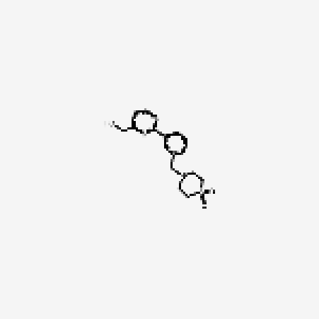 O=S1(=O)CCN(Cc2cccc(-c3nccc(CO)n3)c2)CC1